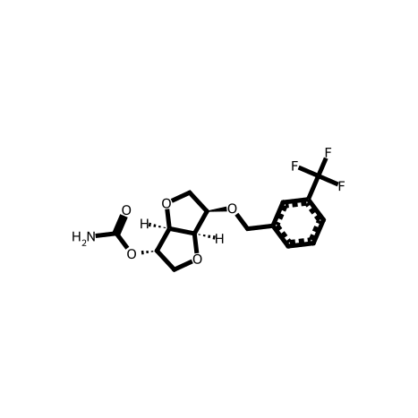 NC(=O)O[C@H]1CO[C@H]2[C@@H]1OC[C@H]2OCc1cccc(C(F)(F)F)c1